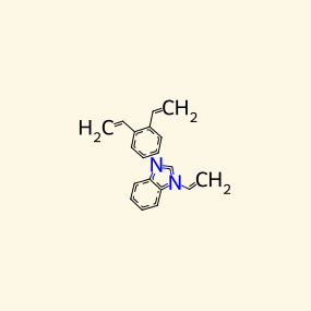 C=Cc1ccccc1C=C.C=Cn1cnc2ccccc21